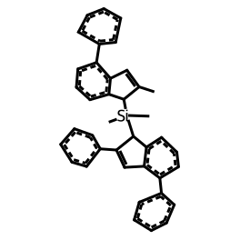 CC1=Cc2c(-c3ccccc3)cccc2C1[Si](C)(C)C1C(c2ccccc2)=Cc2c(-c3ccccc3)cccc21